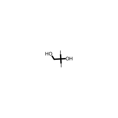 OCC(O)(I)I